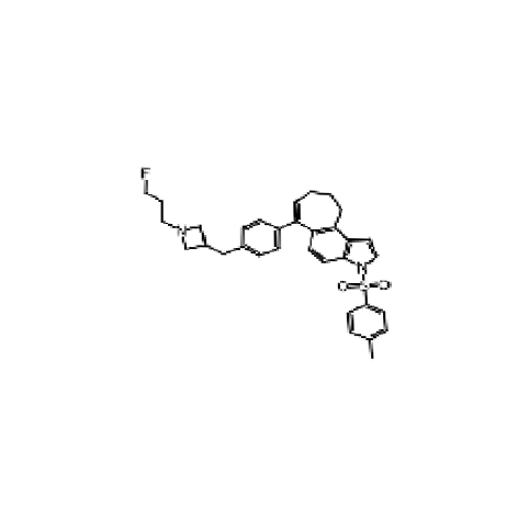 Cc1ccc(S(=O)(=O)n2ccc3c4c(ccc32)C(c2ccc(CC3CN(CCCF)C3)cc2)=CCCC4)cc1